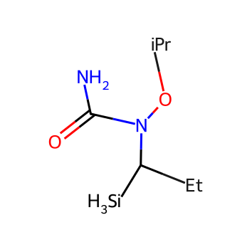 CCC([SiH3])N(OC(C)C)C(N)=O